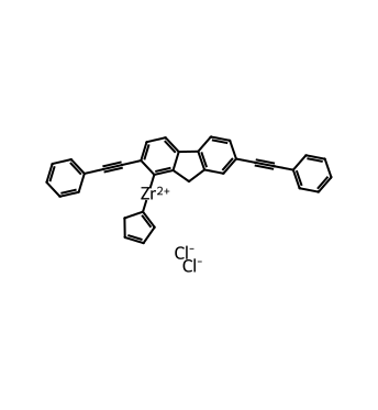 C(#Cc1ccc2c(c1)Cc1c-2ccc(C#Cc2ccccc2)[c]1[Zr+2][C]1=CC=CC1)c1ccccc1.[Cl-].[Cl-]